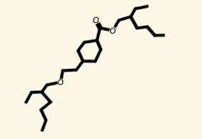 CCCCC(CC)COCCC1CCC(C(=O)OCC(CC)CCCC)CC1